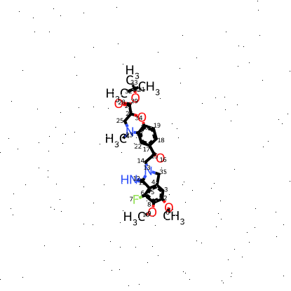 COc1cc2c(c(F)c1OC)C(=N)N(CC(=O)c1ccc3c(c1)N(C)CC(C(=O)OC(C)(C)C)O3)C2